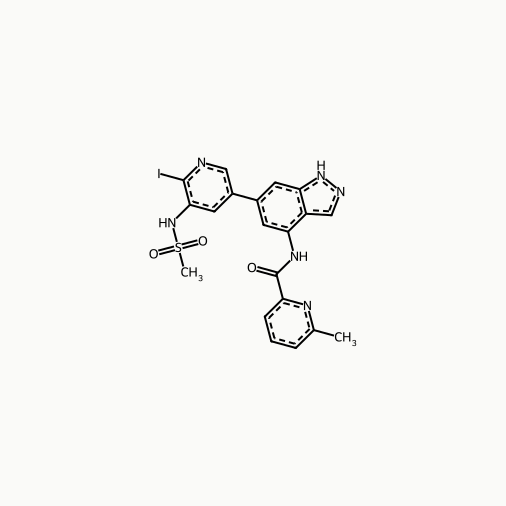 Cc1cccc(C(=O)Nc2cc(-c3cnc(I)c(NS(C)(=O)=O)c3)cc3[nH]ncc23)n1